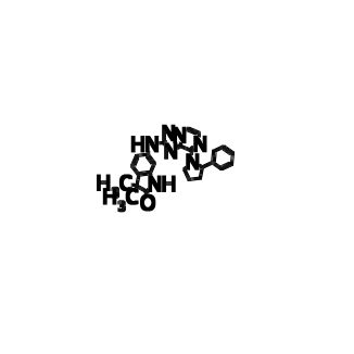 CC1(C)C(=O)Nc2cc(Nc3nc4c(N5CCCC5c5ccccc5)nccn4n3)ccc21